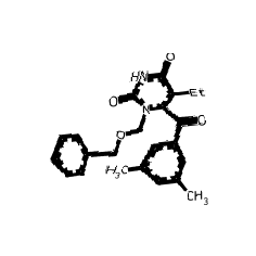 CCc1c(C(=O)c2cc(C)cc(C)c2)n(COCc2ccccc2)c(=O)[nH]c1=O